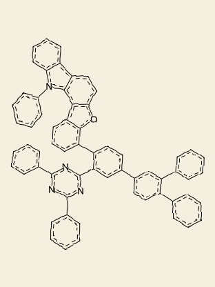 c1ccc(-c2nc(-c3ccccc3)nc(-c3cc(-c4ccc(-c5ccccc5)c(-c5ccccc5)c4)ccc3-c3cccc4c3oc3ccc5c6ccccc6n(-c6ccccc6)c5c34)n2)cc1